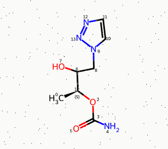 C[C@H](OC(N)=O)C(O)Cn1ccnn1